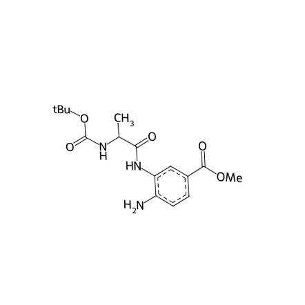 COC(=O)c1ccc(N)c(NC(=O)C(C)NC(=O)OC(C)(C)C)c1